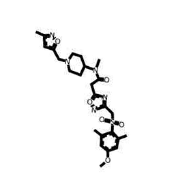 COc1cc(C)c(S(=O)(=O)Cc2noc(CC(=O)N(C)C3CCN(Cc4cc(C)no4)CC3)n2)c(C)c1